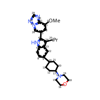 COc1cc(-c2[nH]c3ccc(C4CCC(N5CCOCC5)CC4)cc3c2C(C)C)cn2ncnc12